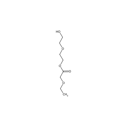 CCOCC(=O)OCCOCCO